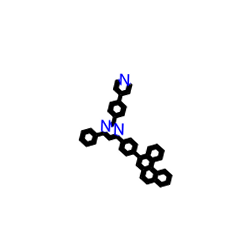 c1ccc(-c2cc(-c3ccc(-c4cc5ccc6ccccc6c5c5ccccc45)cc3)nc(-c3ccc(-c4ccncc4)cc3)n2)cc1